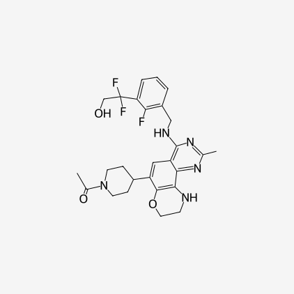 CC(=O)N1CCC(c2cc3c(NCc4cccc(C(F)(F)CO)c4F)nc(C)nc3c3c2OCCN3)CC1